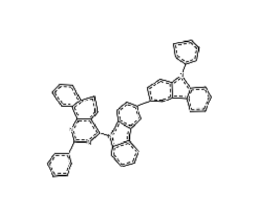 c1ccc(-c2nc(-n3c4ccccc4c4cc(-c5ccc6c(c5)c5ccccc5n6-c5ccccc5)ccc43)c3ccc4ccccc4c3n2)cc1